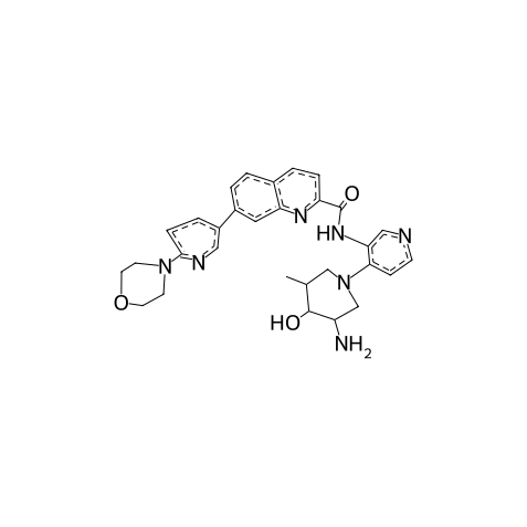 CC1CN(c2ccncc2NC(=O)c2ccc3ccc(-c4ccc(N5CCOCC5)nc4)cc3n2)CC(N)C1O